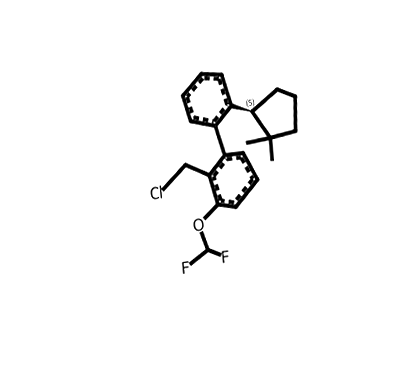 CC1(C)CCC[C@@H]1c1ccccc1-c1cccc(OC(F)F)c1CCl